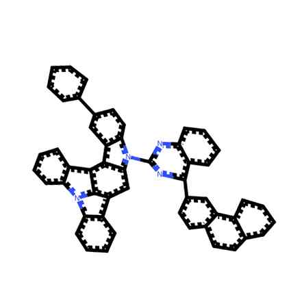 c1ccc(-c2ccc3c(c2)c2c4c5ccccc5n5c6ccccc6c(cc2n3-c2nc(-c3ccc6ccc7ccccc7c6c3)c3ccccc3n2)c45)cc1